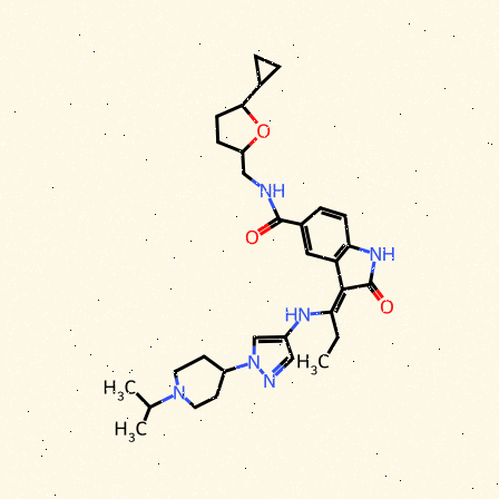 CCC(Nc1cnn(C2CCN(C(C)C)CC2)c1)=C1C(=O)Nc2ccc(C(=O)NCC3CCC(C4CC4)O3)cc21